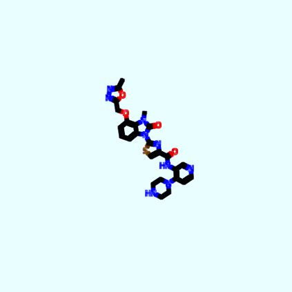 Cc1nnc(COc2cccc3c2n(C)c(=O)n3-c2nc(C(=O)Nc3cnccc3N3CCNCC3)cs2)o1